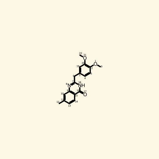 COc1ccc(Cc2nc3cc(C)ccc3c(=O)[nH]2)cc1OC